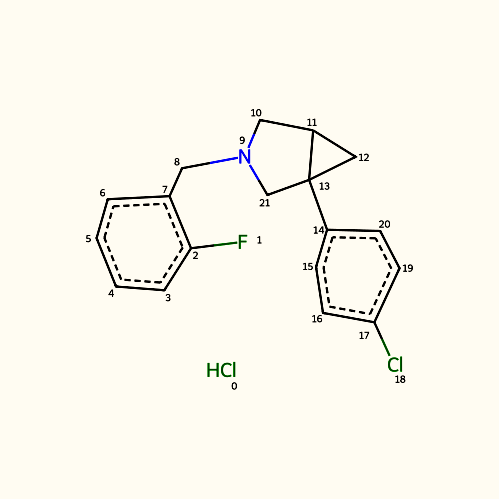 Cl.Fc1ccccc1CN1CC2CC2(c2ccc(Cl)cc2)C1